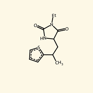 CCN1C(=O)NC(CC(C)c2cccs2)C1=O